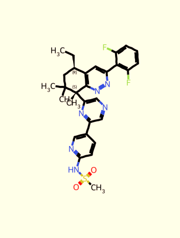 CC[C@@H]1CC(C)(C)[C@@](C)(c2cncc(-c3ccc(NS(C)(=O)=O)nc3)n2)c2nnc(-c3c(F)cccc3F)cc21